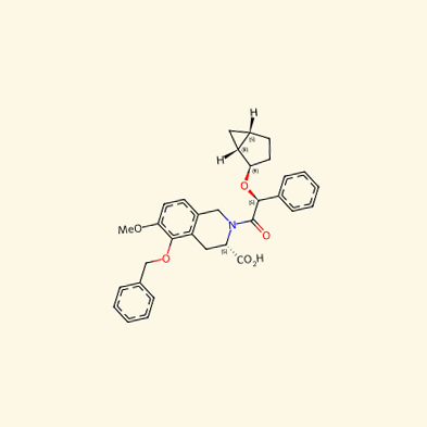 COc1ccc2c(c1OCc1ccccc1)C[C@@H](C(=O)O)N(C(=O)[C@@H](O[C@@H]1CC[C@H]3C[C@H]31)c1ccccc1)C2